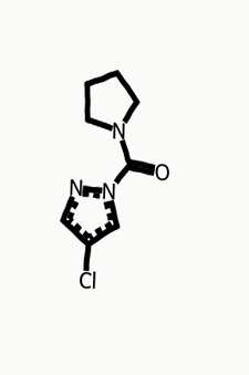 O=C(N1CCCC1)n1cc(Cl)cn1